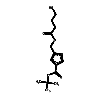 CC(C)(C)OC(=O)n1cnc(COC(=O)CCCS)c1